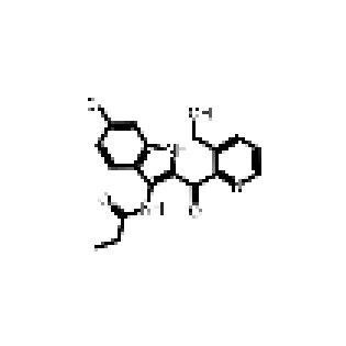 CCC(=O)Nc1c(C(=O)c2ncccc2CO)[nH]c2cc(Cl)ccc12